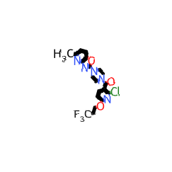 Cc1ccc2oc(N3CCN(C(=O)c4ccc(OCCC(F)(F)F)nc4Cl)CC3)nc2n1